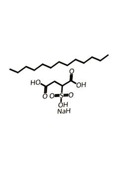 CCCCCCCCCCCCC.O=C(O)CC(C(=O)O)S(=O)(=O)O.[NaH]